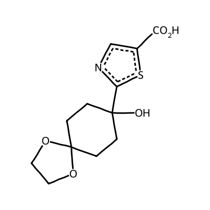 O=C(O)c1cnc(C2(O)CCC3(CC2)OCCO3)s1